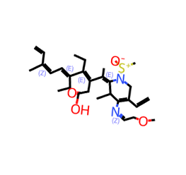 C=CC1=C(/N=C\COC)C(C)\C(=C(C)/C(CC(=O)O)=C(CC)/C(=C/C=C(/C)C=C)CC)N([S+](C)[O-])C1